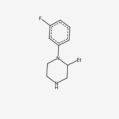 CCC1CNCCN1c1cccc(F)c1